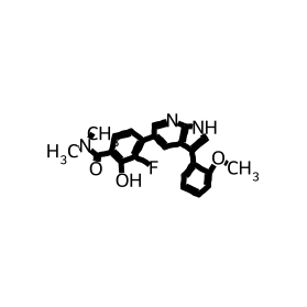 COc1ccccc1-c1c[nH]c2ncc(-c3ccc(C(=O)N(C)C)c(O)c3F)cc12